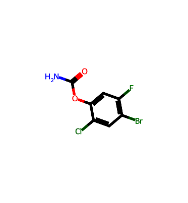 NC(=O)Oc1cc(F)c(Br)cc1Cl